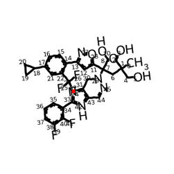 CC(CO)(CO)CC(C(=O)O)(c1cc(-c2ccc(C3CC3)cc2C(F)(F)F)no1)N1Cc2nc(-c3cccc(F)c3F)[nH]c2C=N1